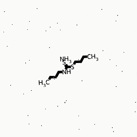 CCCCNC(=S)SCCCC.N